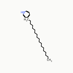 C1=CC=CNC=C1.CCCCCCCCCCCCCCCCCCC